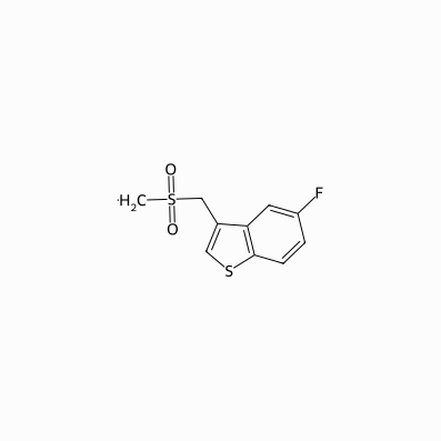 [CH2]S(=O)(=O)Cc1csc2ccc(F)cc12